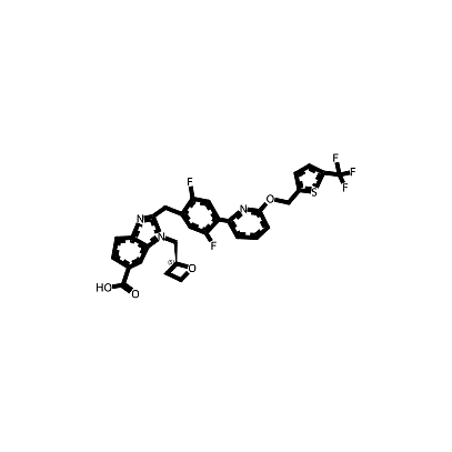 O=C(O)c1ccc2nc(Cc3cc(F)c(-c4cccc(OCc5ccc(C(F)(F)F)s5)n4)cc3F)n(C[C@@H]3CCO3)c2c1